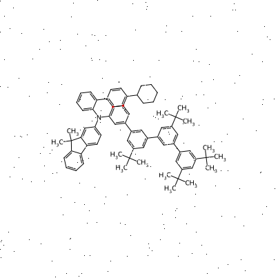 CC(C)(C)c1cc(-c2cccc(N(c3ccc4c(c3)C(C)(C)c3ccccc3-4)c3ccccc3-c3ccc(C4CCCCC4)cc3)c2)cc(-c2cc(-c3cc(C(C)(C)C)cc(C(C)(C)C)c3)cc(C(C)(C)C)c2)c1